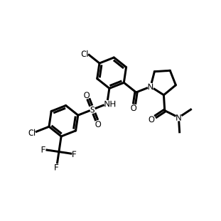 CN(C)C(=O)C1CCCN1C(=O)c1ccc(Cl)cc1NS(=O)(=O)c1ccc(Cl)c(C(F)(F)F)c1